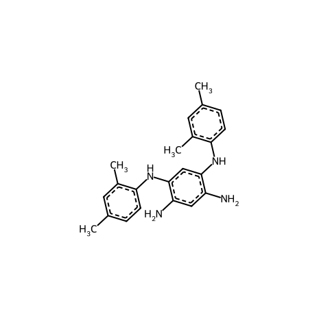 Cc1ccc(Nc2cc(Nc3ccc(C)cc3C)c(N)cc2N)c(C)c1